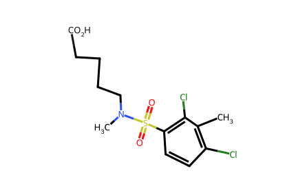 Cc1c(Cl)ccc(S(=O)(=O)N(C)CCCCC(=O)O)c1Cl